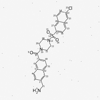 NCc1ccc2cc(C(=O)N3CCN(S(=O)(=O)c4ccc5cc(Cl)ccc5c4)CC3)ccc2c1